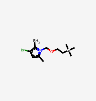 Bc1c(Br)cc(C)n1COCC[Si](C)(C)C